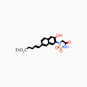 CCOC(=O)CC/C=C/c1ccc2cc(O)c(N3CC(=O)NS3(=O)=O)cc2c1